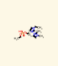 CCOP(=O)(O)OCC.CCn1ccnc1.Cc1nccn1C